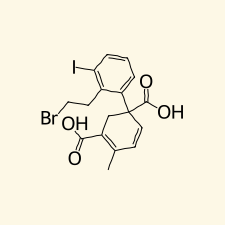 CC1=C(C(=O)O)CC(C(=O)O)(c2cccc(I)c2CCBr)C=C1